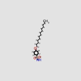 CCCCCCCCCCCCCCOc1ccc(S([NH])(=O)=O)cc1